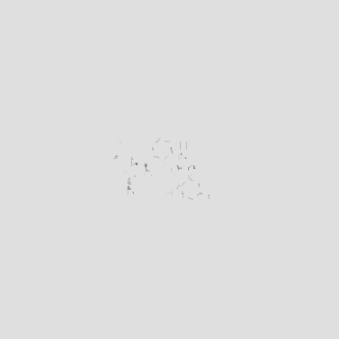 Cc1ccc(C)c(S(=O)(=O)Nc2cccc(C(=O)N3CCOCC3C#N)c2)c1